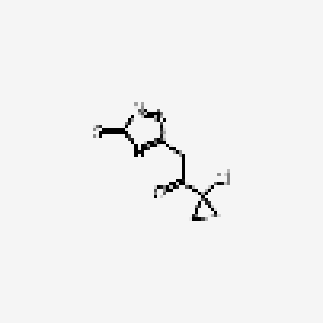 O=C(CC1=NC(=S)N=N1)C1(Cl)CC1